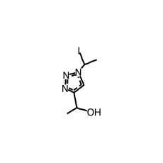 CC(O)c1cn(C(C)I)nn1